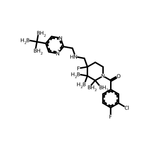 BC(B)(B)c1cnc(CNCC2(F)CCN(C(=O)c3ccc(F)c(Cl)c3)C(B)(B)C2(B)B)nc1